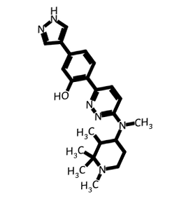 CC1C(N(C)c2ccc(-c3ccc(-c4cn[nH]c4)cc3O)nn2)CCN(C)C1(C)C